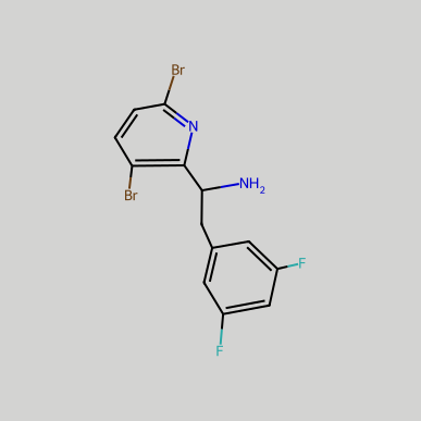 NC(Cc1cc(F)cc(F)c1)c1nc(Br)ccc1Br